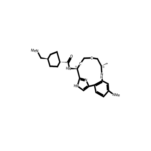 CNC[C@H]1CC[C@H](C(=O)N[C@H]2CCCC[C@H](C)Nc3cc(NC)ccc3-c3c[nH]c2n3)CC1